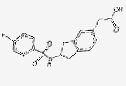 O=C(O)Cc1ccc2c(c1)CC(NS(=O)(=O)c1ccc(F)cc1)C2